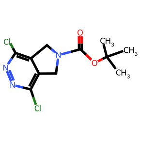 CC(C)(C)OC(=O)N1Cc2c(Cl)nnc(Cl)c2C1